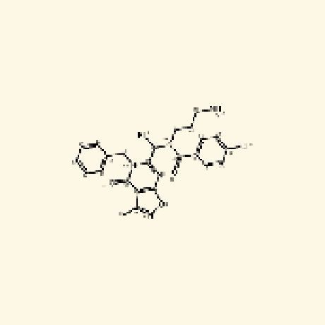 CCC(c1nc2onc(C)c2c(=O)n1Cc1ccccc1)N(CCCN)C(=O)c1ccc(Cl)cc1